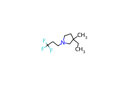 CCC1(C)CCN(CCC(F)(F)F)C1